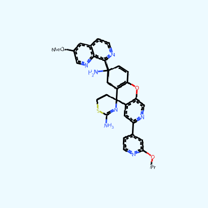 COc1cnc2c(C3(N)C=CC4=C(C3)C3(CCSC(N)=N3)c3cc(-c5ccnc(OC(C)C)c5)ncc3O4)nccc2c1